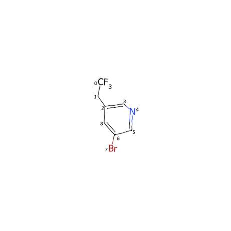 FC(F)(F)Cc1cncc(Br)c1